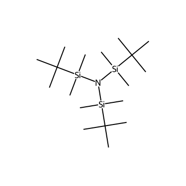 CC(C)(C)[Si](C)(C)N([Si](C)(C)C(C)(C)C)[Si](C)(C)C(C)(C)C